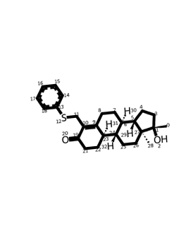 C[C@]1(O)CC[C@H]2[C@@H]3CCC4=C(CSc5ccccc5)C(=O)CC[C@@H]4[C@H]3CC[C@@]21C